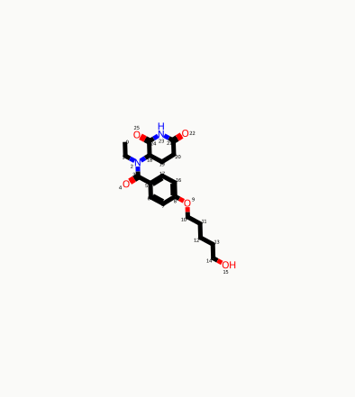 CCN(C(=O)c1ccc(OCCCCCO)cc1)C1CCC(=O)NC1=O